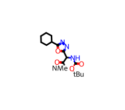 CNC(=O)C(NC(=O)OC(C)(C)C)c1nnc(C2CCCCC2)o1